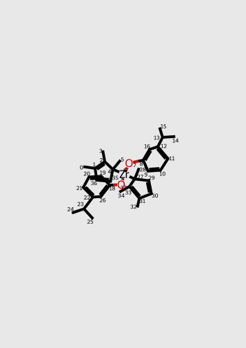 CC1=C(C)[C](C)([Zr]([O]c2cccc(C(C)C)c2)([O]c2cccc(C(C)C)c2)[C]2(C)C=CC(C)=C2C)C=C1